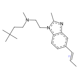 C/C=C/c1ccc2c(c1)nc(C)n2CCN(C)CCC(C)(C)C